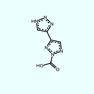 O=C(O)n1ncc(-c2c[nH]nn2)n1